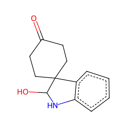 O=C1CCC2(CC1)c1ccccc1NC2O